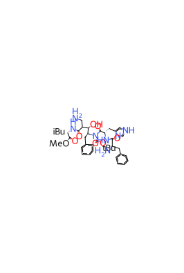 CC[C@H](C)[C@H](NC(=O)C(CN)C(O)[C@H](Cc1ccccc1)N(C(=O)OC(C)(C)C)C(=O)[C@H](Cc1c[nH]cn1)NC(=O)[C@@H](N)Cc1ccccc1)C(=O)OC